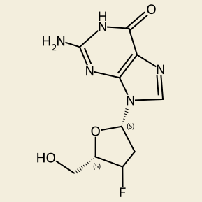 Nc1nc2c(ncn2[C@@H]2CC(F)[C@H](CO)O2)c(=O)[nH]1